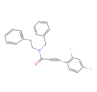 O=C(C#Cc1ccc(F)cc1F)N(CCc1ccccc1)Cc1ccccc1